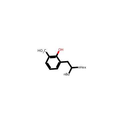 CCCCCCC(CCCC)Cc1cccc(C(=O)O)c1O